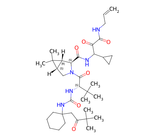 C=CCNC(=O)C(=O)C(NC(=O)[C@@H]1[C@@H]2[C@H](CN1C(=O)[C@@H](NC(=O)NC1(CC(=O)C(C)(C)C)CCCCC1)C(C)(C)C)C2(C)C)C1CC1